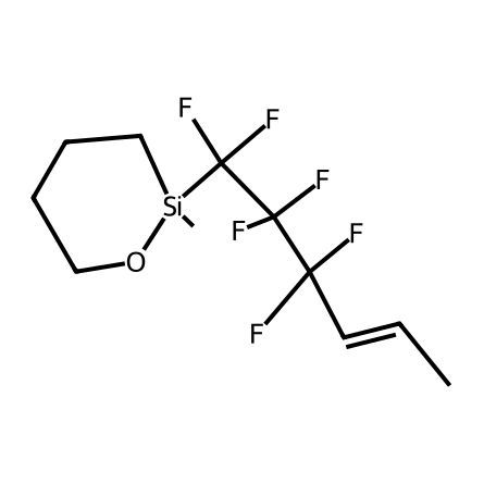 CC=CC(F)(F)C(F)(F)C(F)(F)[Si]1(C)CCCCO1